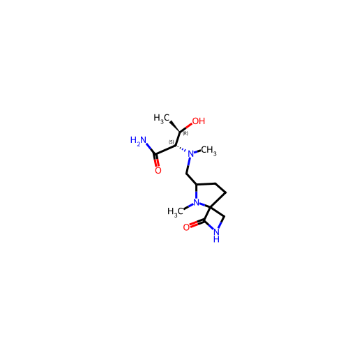 C[C@@H](O)[C@@H](C(N)=O)N(C)CC1CCC2(CNC2=O)N1C